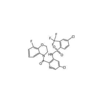 O=C(c1ncc(Cl)cc1NS(=O)(=O)c1ccc(Cl)cc1C(F)(F)F)N1CCOc2c(F)cccc21